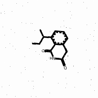 CCC(C)c1cccc2c1C(=O)NC(=O)C2